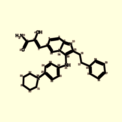 NC(=O)C(O)=Cc1ccc2nc(CCc3ccccc3)c(Nc3ccc(N4CCCCC4)cc3)n2c1